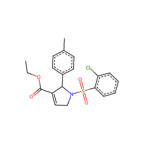 CCOC(=O)C1=CCN(S(=O)(=O)c2ccccc2Cl)C1c1ccc(C)cc1